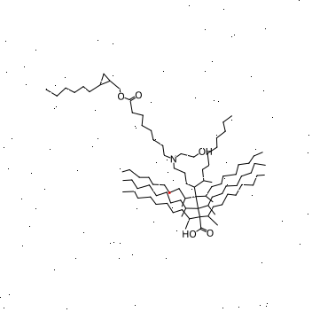 CCCCCCCCC(C)C(CCCN(CCO)CCCCCCCC(=O)OCC1CC1CCCCCC)C(C(C)CCCCCCCC)(C(C)CCCCCCCC)C(C(C)CCCCCCCC)(C(C)CCCCCCCC)C(C(=O)O)(C(C)CCCCCCCC)C(C)CCCCCCCC